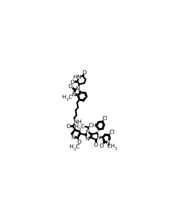 COc1ncc(C(=O)NCCCCCc2cccc3c2n(C)c(=O)n3C2CCC(=O)NC2=O)cc1-c1nc2c(n1C(C)C)[C@H](c1ccc(Cl)cc1)N(c1cc(Cl)cn(C)c1=O)C2=O